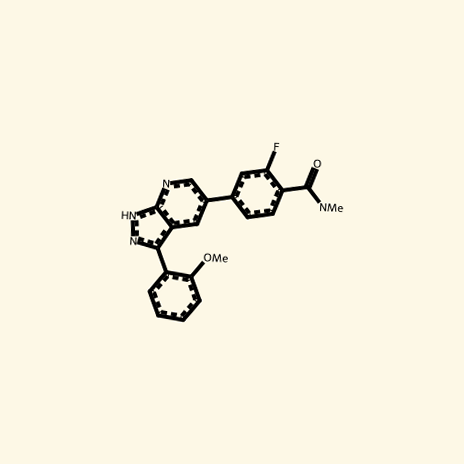 CNC(=O)c1ccc(-c2cnc3[nH]nc(-c4ccccc4OC)c3c2)cc1F